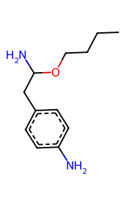 CCCCOC(N)Cc1ccc(N)cc1